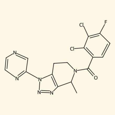 CC1c2nnn(-c3cnccn3)c2CCN1C(=O)c1ccc(F)c(Cl)c1Cl